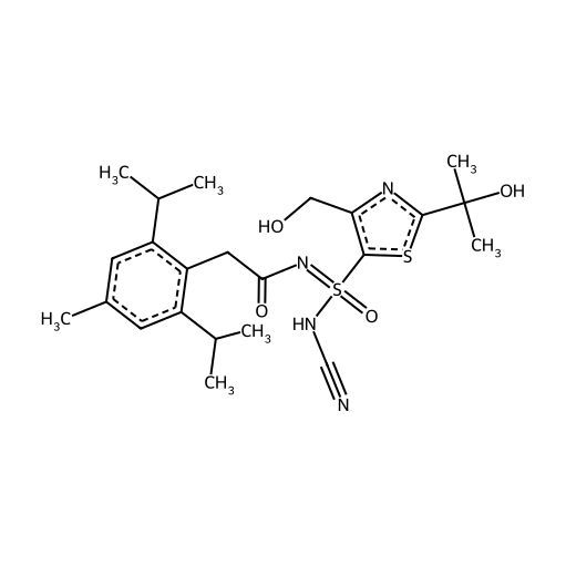 Cc1cc(C(C)C)c(CC(=O)N=S(=O)(NC#N)c2sc(C(C)(C)O)nc2CO)c(C(C)C)c1